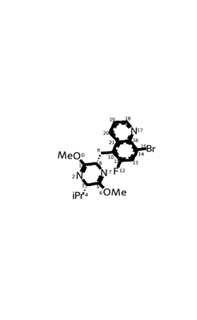 COC1=N[C@@H](C(C)C)C(OC)=N[C@H]1Cc1c(F)cc(Br)c2ncccc12